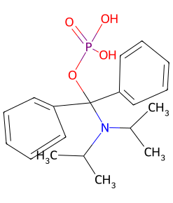 CC(C)N(C(C)C)C(OP(=O)(O)O)(c1ccccc1)c1ccccc1